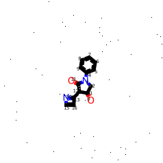 O=C1CN(c2ccccc2)C(=O)C1C1=NC=C1